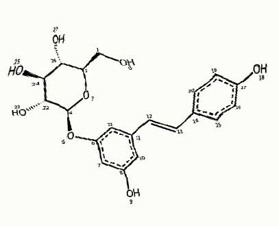 OC[C@H]1O[C@@H](Oc2cc(O)cc(C=Cc3ccc(O)cc3)c2)[C@H](O)[C@@H](O)[C@@H]1O